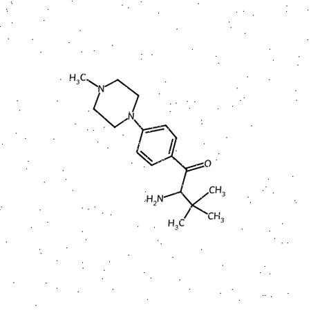 CN1CCN(c2ccc(C(=O)C(N)C(C)(C)C)cc2)CC1